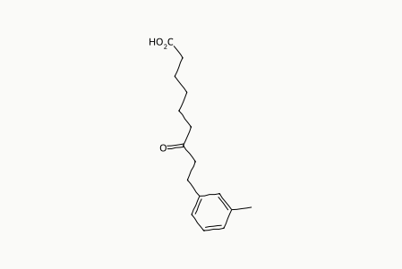 Cc1cccc(CCC(=O)CCCCCC(=O)O)c1